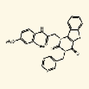 COc1ccc(NC(=O)Cn2c(=O)n(Cc3cccnc3)c(=O)c3sc4ccccc4c32)c(OC)c1